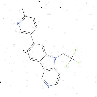 Cc1ccc(-c2ccc3c4cnccc4n(CC(F)(F)F)c3c2)cn1